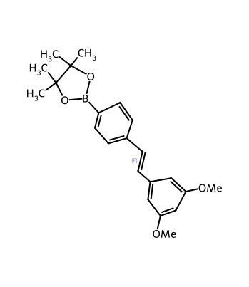 COc1cc(/C=C/c2ccc(B3OC(C)(C)C(C)(C)O3)cc2)cc(OC)c1